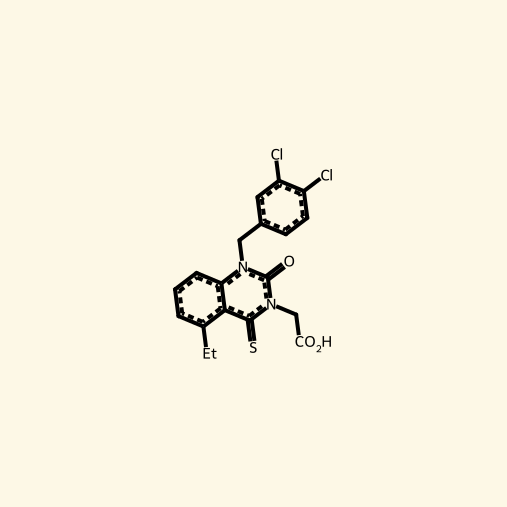 CCc1cccc2c1c(=S)n(CC(=O)O)c(=O)n2Cc1ccc(Cl)c(Cl)c1